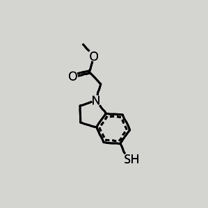 COC(=O)CN1CCc2cc(S)ccc21